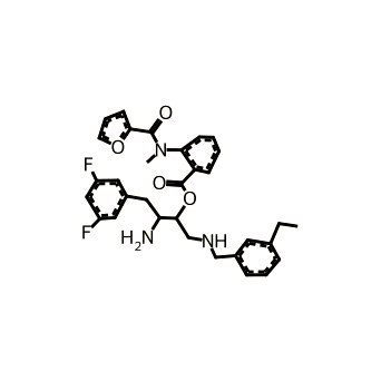 CCc1cccc(CNCC(OC(=O)c2ccccc2N(C)C(=O)c2ccco2)C(N)Cc2cc(F)cc(F)c2)c1